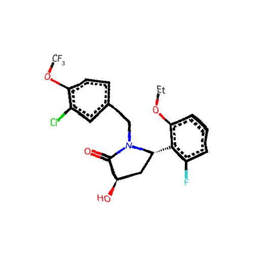 CCOc1cccc(F)c1[C@@H]1C[C@@H](O)C(=O)N1Cc1ccc(OC(F)(F)F)c(Cl)c1